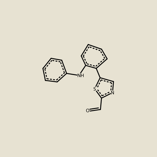 O=Cc1ncc(-c2ccccc2Nc2ccccc2)s1